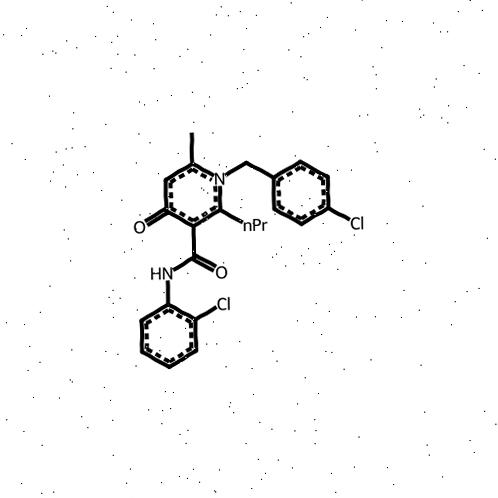 CCCc1c(C(=O)Nc2ccccc2Cl)c(=O)cc(C)n1Cc1ccc(Cl)cc1